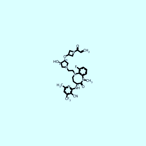 C=CC(=O)N1CC(O[C@@H]2CN(CCN3CC[C@H](Nc4nc(C)cc(C(F)(F)F)c4C#N)C(=O)N(C)c4cccc(F)c43)C[C@H]2O)C1